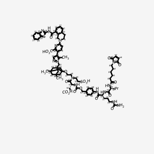 Cc1c(-c2ccc(N3CCc4cccc(C(=O)Nc5nc6ccccc6s5)c4C3)nc2C(=O)O)cnn1CC12CC3(C)CC(C)(C1)CC(OCCN(CCS(=O)(=O)O)C(=O)[C@@H](CC(=O)O)NC(=O)OCc1ccc(NC(=O)[C@H](CCCNC(N)=O)NC(=O)[C@@H](NC(=O)CCCCCN4C(=O)C=CC4=O)C(C)C)cc1)(C3)C2